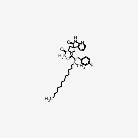 CCCCCCCCCCCCCN(C)[C@@H](Cc1ccc(F)cc1)C(=O)N1C[C@]2(C[C@H]1C(N)=O)C(=O)Nc1ncccc12